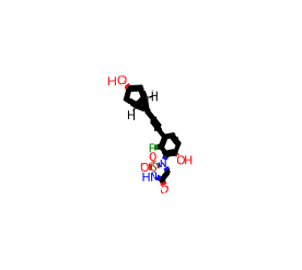 O=C1CN(c2c(O)ccc(C#CC3[C@H]4CC(O)C[C@@H]34)c2F)S(=O)(=O)N1